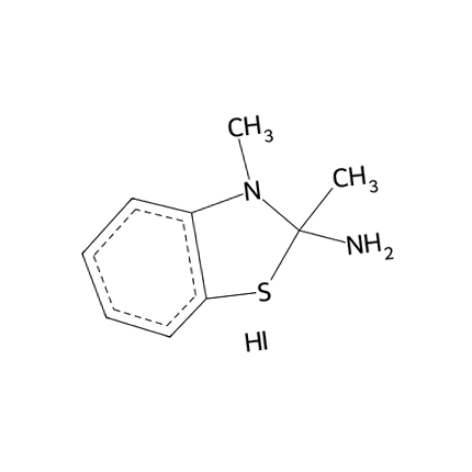 CN1c2ccccc2SC1(C)N.I